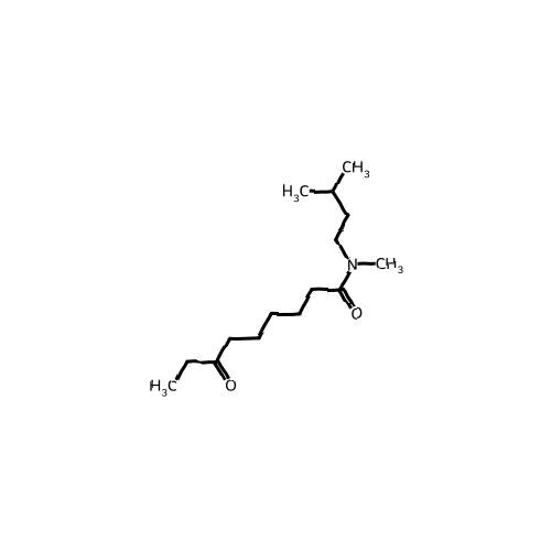 CCC(=O)CCCCCC(=O)N(C)CCC(C)C